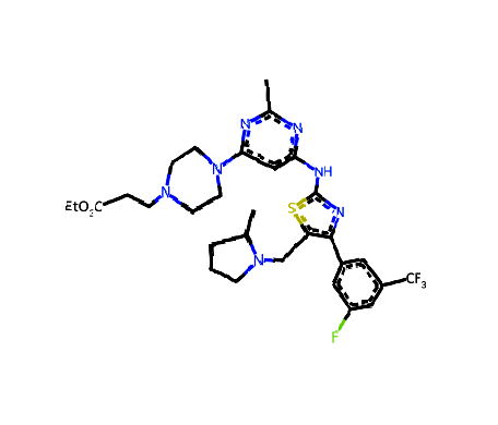 CCOC(=O)CCN1CCN(c2cc(Nc3nc(-c4cc(F)cc(C(F)(F)F)c4)c(CN4CCCC4C)s3)nc(C)n2)CC1